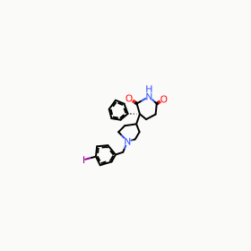 O=C1CC[C@@](c2ccccc2)(C2CCN(Cc3ccc(I)cc3)CC2)C(=O)N1